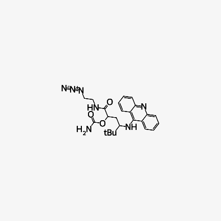 CC(C)(C)C(CC(OC(N)=O)C(=O)NCCN=[N+]=[N-])Nc1c2ccccc2nc2ccccc12